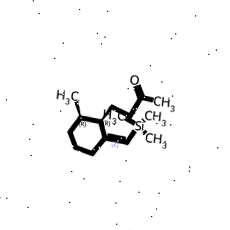 CC(=O)CC[C@H]1/C(=C\[Si](C)(C)C)CCC[C@H]1C